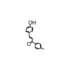 Cc1ccc(C(=O)C=Cc2ccc(O)cc2)cc1